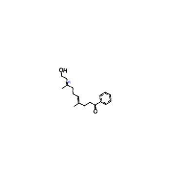 CC(=CCC/C(C)=C/CO)CCC(=O)c1ccccc1